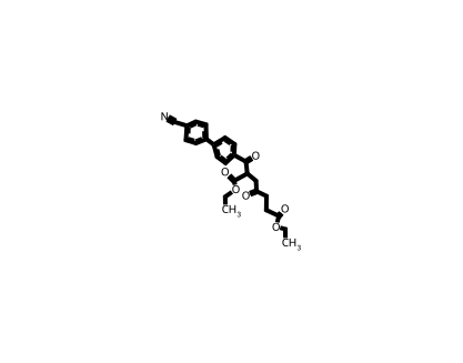 CCOC(=O)CCC(=O)CC(C(=O)OCC)C(=O)c1ccc(-c2ccc(C#N)cc2)cc1